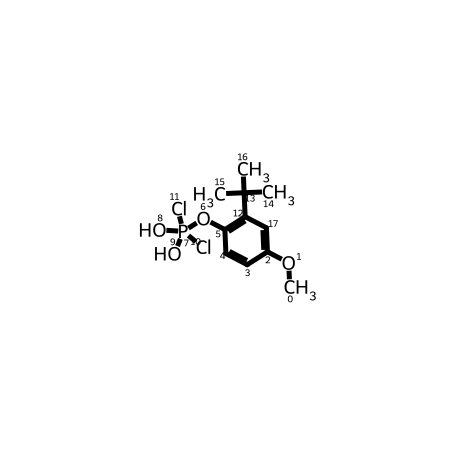 COc1ccc(OP(O)(O)(Cl)Cl)c(C(C)(C)C)c1